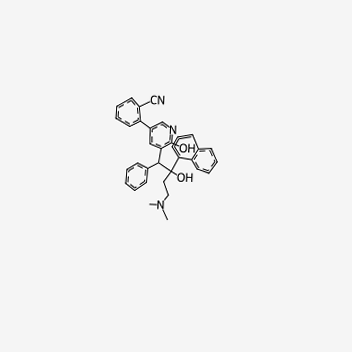 CN(C)CCC(O)(C1=C=C=Cc2ccccc21)C(c1ccccc1)c1cc(-c2ccccc2C#N)cnc1O